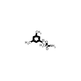 CS(N)(=O)=O.Cc1cc(C)cc(C)c1